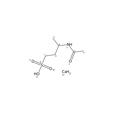 CC(=O)NC(C)CCS(=O)(=O)O.[CaH2]